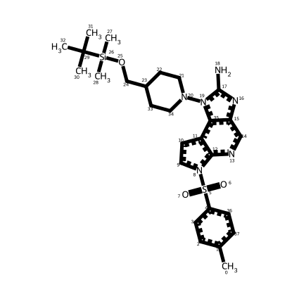 Cc1ccc(S(=O)(=O)n2ccc3c2ncc2nc(N)n(N4CCC(CO[Si](C)(C)C(C)(C)C)CC4)c23)cc1